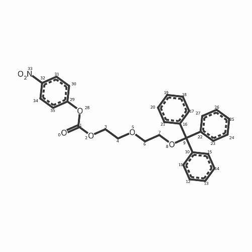 O=C(OCCOCCOC(c1ccccc1)(c1ccccc1)c1ccccc1)Oc1ccc([N+](=O)[O-])cc1